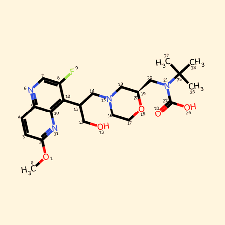 COc1ccc2ncc(F)c(C(CO)CN3CCO[C@H](CN(C(=O)O)C(C)(C)C)C3)c2n1